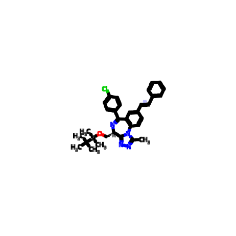 Cc1nnc2n1-c1ccc(/C=C/c3ccccc3)cc1C(c1ccc(Cl)cc1)=N[C@H]2CO[Si](C)(C)C(C)(C)C